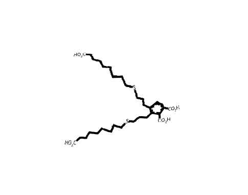 O=C(O)CCCCCCCCSCCCc1ccc(C(=O)O)c(C(=O)O)c1CCCSCCCCCCCCC(=O)O